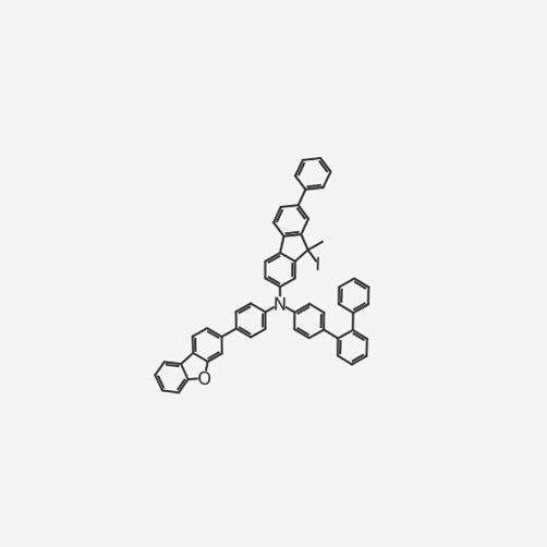 CC1(I)c2cc(-c3ccccc3)ccc2-c2ccc(N(c3ccc(-c4ccc5c(c4)oc4ccccc45)cc3)c3ccc(-c4ccccc4-c4ccccc4)cc3)cc21